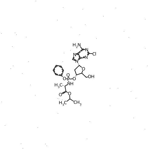 CC(C)OC(=O)[C@H](C)NP(=O)(Oc1ccccc1)O[C@@H]1C[C@H](n2cnc3c(N)nc(Cl)nc32)OC1CO